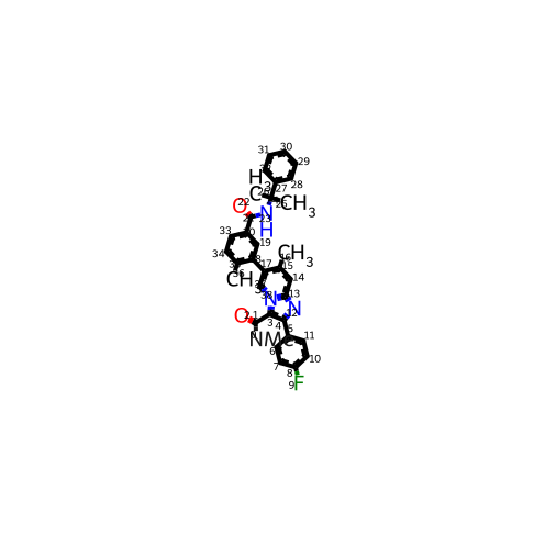 CNC(=O)c1c(-c2ccc(F)cc2)nc2cc(C)c(-c3cc(C(=O)NC(C)(C)c4ccccc4)ccc3C)cn12